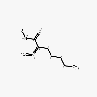 CCCCCC(=S=O)C(=O)NO